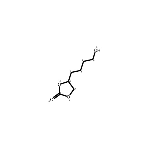 O=C1OCC(CCCCO)O1